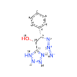 [N-]=[N+]=N[C@@H](c1ccccc1)[C@@H](O)c1nnn[nH]1